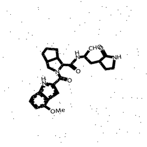 COc1cccc2[nH]c(C(=O)N3CC4CCCC4C3C(=O)NC(C=O)CC3CCNC3=O)cc12